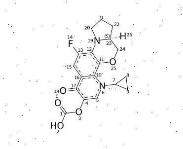 O=C(O)Oc1cn(C2CC2)c2c3c(c(F)cc2c1=O)N1CCC[C@H]1CO3